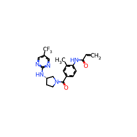 C=CC(=O)Nc1ccc(C(=O)N2CC[C@H](Nc3ncc(C(F)(F)F)cn3)C2)cc1C